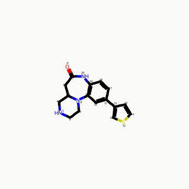 O=C1CC2CNCCN2c2cc(-c3ccsc3)ccc2N1